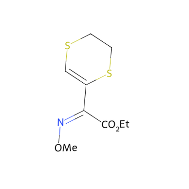 CCOC(=O)/C(=N\OC)C1=CSCCS1